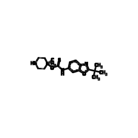 CC(C)(C)c1nc2ccc(NC(=S)O[N+]3(C)CCNCC3)cc2o1